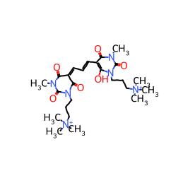 CN1C(=O)C(=CC=Cc2c(O)n(CCC[N+](C)(C)C)c(=O)n(C)c2=O)C(=O)N(CCC[N+](C)(C)C)C1=O